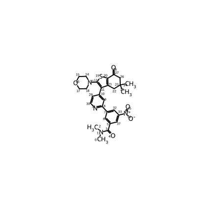 CN(C)C(=O)c1cc(-c2cc(-c3c(N4CCOCC4)sc4c3CC(C)(C)CC4=O)ccn2)cc([N+](=O)[O-])c1